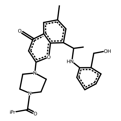 Cc1cc(C(C)Nc2ccccc2CO)c2oc(N3CCN(C(=O)C(C)C)CC3)cc(=O)c2c1